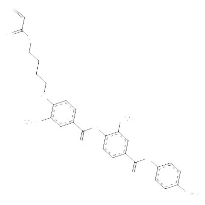 C=CC(=O)OCCCCOc1ccc(C(=O)Oc2ccc(C(=O)Oc3ccc(CCCC)cc3)cc2OC)cc1OC